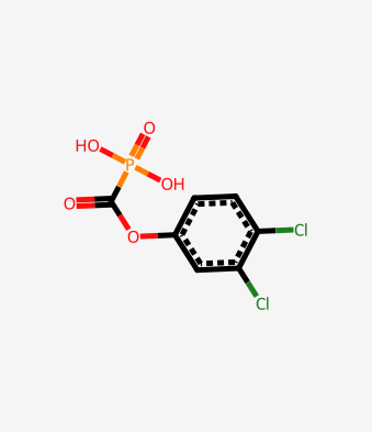 O=C(Oc1ccc(Cl)c(Cl)c1)P(=O)(O)O